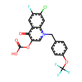 O=C(O)Oc1cn(Cc2ccc(OC(F)(F)F)cc2)c2cc(Cl)c(F)cc2c1=O